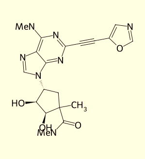 CNC(=O)C1(C)C[C@@H](n2cnc3c(NC)nc(C#Cc4cnco4)nc32)[C@H](O)[C@@H]1O